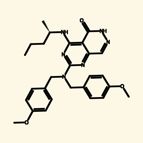 CCC[C@H](C)Nc1nc(N(Cc2ccc(OC)cc2)Cc2ccc(OC)cc2)nc2cn[nH]c(=O)c12